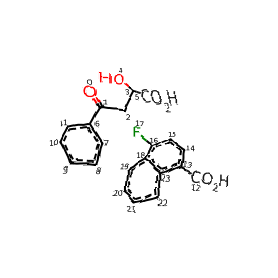 O=C(CC(O)C(=O)O)c1ccccc1.O=C(O)c1ccc(F)c2ccccc12